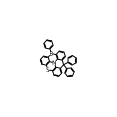 c1ccc(B2c3cccc4c3N3c5c(cccc5C(c5ccccc5)(c5ccccc5)c5cccc2c53)S4)cc1